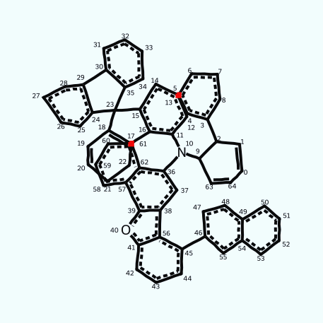 C1=CC(c2ccccc2)C(N(c2cccc3c2C2=C(C=CCC2)C32c3ccccc3-c3ccccc32)c2cc3c(oc4cccc(-c5ccc6ccccc6c5)c43)c3ccccc23)C=C1